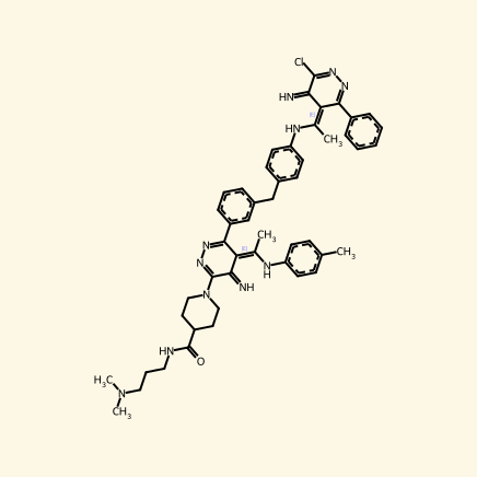 C/C(Nc1ccc(Cc2cccc(C3=NN=C(N4CCC(C(=O)NCCCN(C)C)CC4)C(=N)/C3=C(/C)Nc3ccc(C)cc3)c2)cc1)=C1/C(=N)C(Cl)=NN=C1c1ccccc1